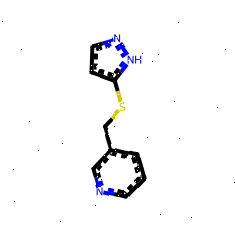 c1cncc(CSc2ccn[nH]2)c1